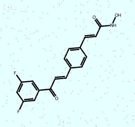 O=C(C=Cc1ccc(C=CC(=O)c2cc(F)cc(F)c2)cc1)NO